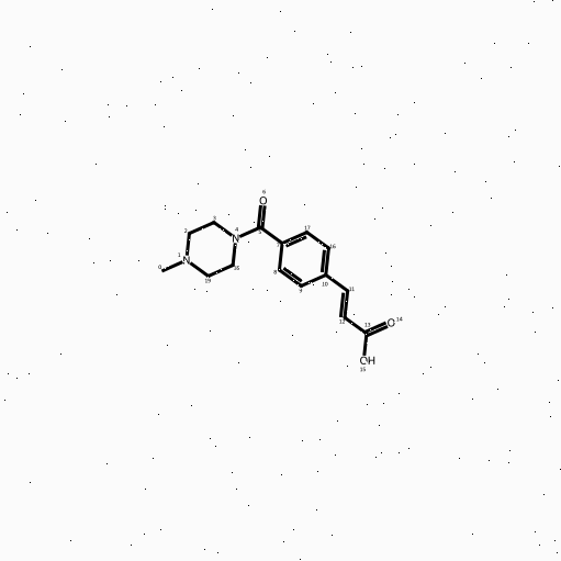 CN1CCN(C(=O)c2ccc(C=CC(=O)O)cc2)CC1